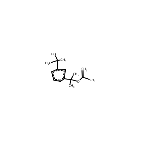 C=C(C)OC(C)(C)c1cccc(C(C)(C)O)c1